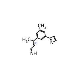 C/C(=C\C=N)c1cc(C)cc(C2=NC=C2)c1